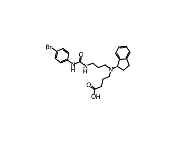 O=C(O)CCCN(CCCNC(=O)Nc1ccc(Br)cc1)[C@@H]1CCc2ccccc21